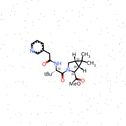 COC(=O)[C@@H]1[C@@H]2[C@H](CN1C(=O)[C@@H](NC(=O)Cc1cccnc1)C(C)(C)C)C2(C)C